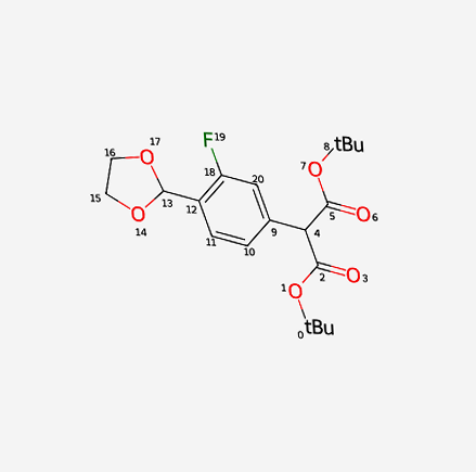 CC(C)(C)OC(=O)C(C(=O)OC(C)(C)C)c1ccc(C2OCCO2)c(F)c1